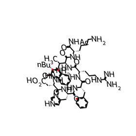 CCCC[C@H](N)C(=O)N[C@@H](CC(=O)O)C(=O)N[C@@H](Cc1c[nH]cn1)C(=O)N[C@@H](Cc1ccccc1)C(=O)N[C@@H](CCCNC(=N)N)C(=O)N[C@H](C(=O)N[C@@H](CCCCN)C(=O)NC(C)=O)C(C)c1c[nH]c2ccccc12